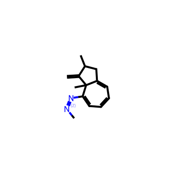 C=C1C(C)CC2=CC=CC=C(/N=N\C)C12C